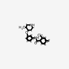 CC1CNCCC1Oc1cccc(NC(=O)c2ccc(F)cc2Cl)c1